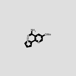 COc1cnc(-c2ccc[nH]2)c(C(N)=O)c1